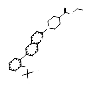 CCOC(=O)C1CCN(c2ccc3cc(-c4ccccc4OC(F)(F)F)ccc3n2)CC1